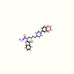 NC(=O)N(CCCCN1CCN(c2ccc3c(c2)OCCO3)CC1)c1sc2ccccc2c1Cl